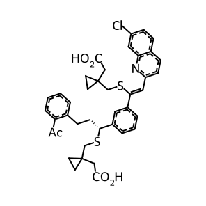 CC(=O)c1ccccc1CC[C@@H](SCC1(CC(=O)O)CC1)c1cccc(C(=Cc2ccc3ccc(Cl)cc3n2)SCC2(CC(=O)O)CC2)c1